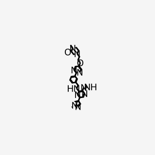 CN1CCN(CCOc2cnc(-c3cccc(CNc4nc(-c5cnn(C)c5)cnc4N=N)c3)nc2)CC1=O